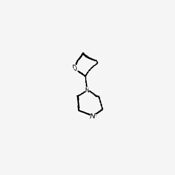 C1CN(C2CCO2)CC[N]1